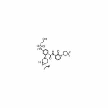 O=C(Nc1cccn([C@H]2CCC(F)(F)C2)c1=O)c1ccc(NS(=O)(=O)CCO)cc1N1CC[C@@]2(C(F)F)C[C@H]2C1